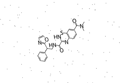 CN(C)C(=O)c1ccc2c(c1)SNC(C(=O)NCC(c1ccccc1)c1ncco1)=N2